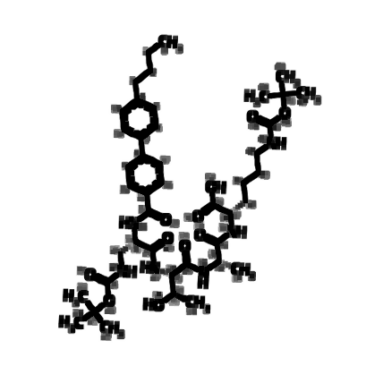 CCCCc1ccc(-c2ccc(C(=O)N[C@@H](CNC(=O)OC(C)(C)C)C(=O)N[C@H](C(=O)N[C@@H](C)C(=O)N[C@@H](CCCCNC(=O)OC(C)(C)C)C(=O)O)[C@@H](C)O)cc2)cc1